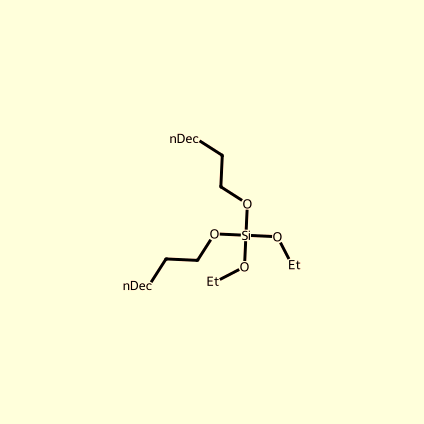 CCCCCCCCCCCCO[Si](OCC)(OCC)OCCCCCCCCCCCC